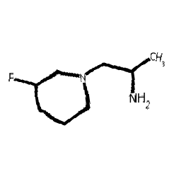 CC(N)CN1CCCC(F)C1